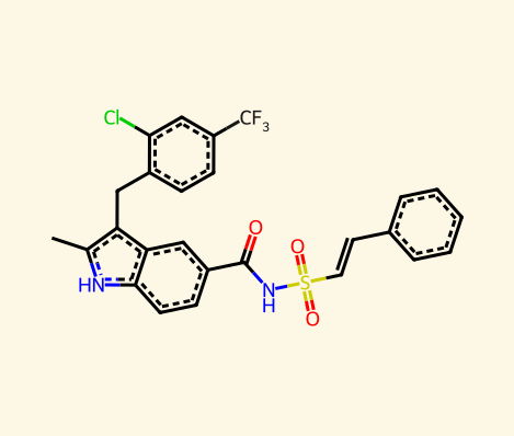 Cc1[nH]c2ccc(C(=O)NS(=O)(=O)C=Cc3ccccc3)cc2c1Cc1ccc(C(F)(F)F)cc1Cl